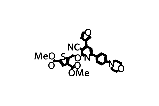 COC(=O)c1cc(C(=O)OC)c(COc2nc(-c3ccc(N4CCOCC4)cc3)cc(-c3ccoc3)c2C#N)s1